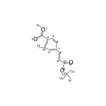 COC(=O)c1ccc(C=CC(=O)OC(C)(C)C)cc1C